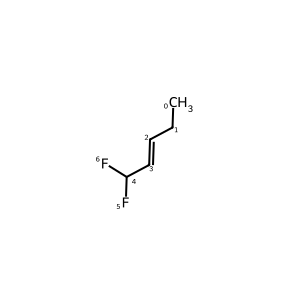 CCC=CC(F)F